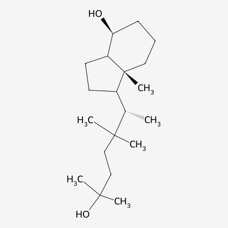 C[C@@H](C1CCC2[C@@H](O)CCC[C@@]21C)C(C)(C)CCC(C)(C)O